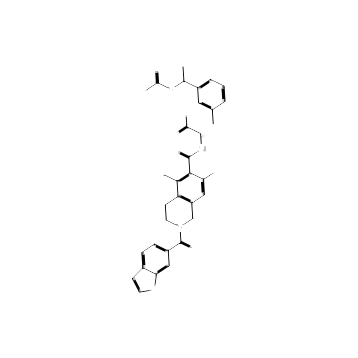 CC(=O)NC(C)c1cccc(C[C@H](NC(=O)c2c(Cl)cc3c(c2Cl)CCN(C(=O)c2ccc4ccoc4c2)C3)C(=O)O)c1